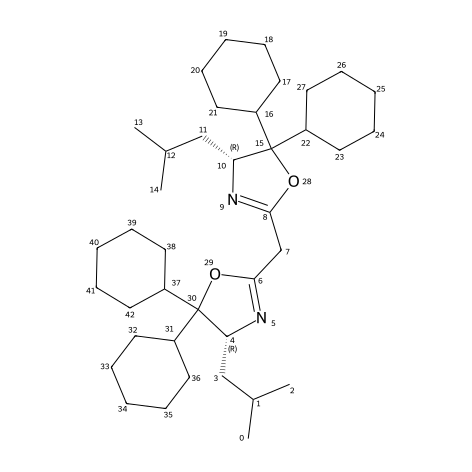 CC(C)C[C@H]1N=C(CC2=N[C@H](CC(C)C)C(C3CCCCC3)(C3CCCCC3)O2)OC1(C1CCCCC1)C1CCCCC1